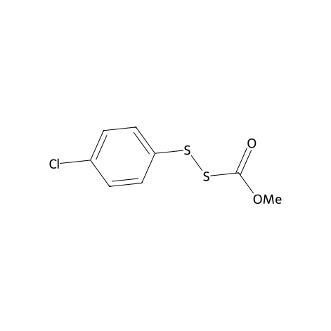 COC(=O)SSc1ccc(Cl)cc1